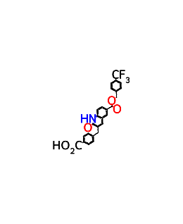 O=C(O)c1ccc(Cc2cc3cc(C(=O)OCc4ccc(C(F)(F)F)cc4)ccc3[nH]c2=O)cc1